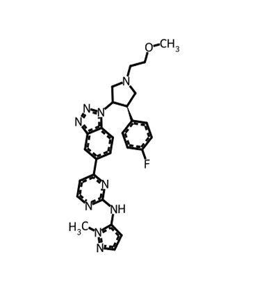 COCCN1CC(n2nnc3cc(-c4ccnc(Nc5ccnn5C)n4)ccc32)[C@H](c2ccc(F)cc2)C1